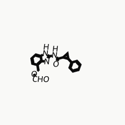 O=COCc1cccc2[nH]c(NC(=O)C3CC3c3ccccc3)nc12